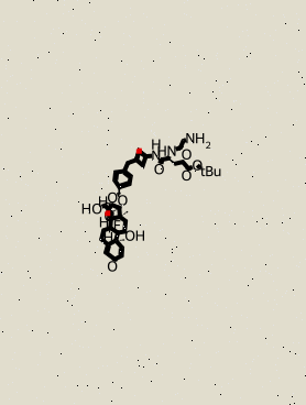 CC(C)(C)OC(=O)CC[C@H](NC(=O)CN)C(=O)NC12CC(Cc3ccc([C@@H]4O[C@@H]5C[C@H]6[C@@H]7CCC8=CC(=O)C=C[C@]8(C)[C@@]7(F)[C@@H](O)C[C@]6(C)[C@]5(C(=O)CO)O4)cc3)(C1)C2